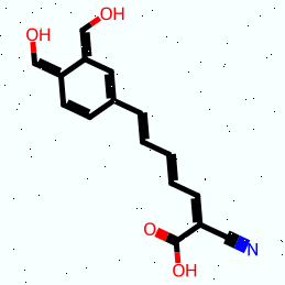 N#CC(=CC=CC=Cc1ccc(=CO)c(=CO)c1)C(=O)O